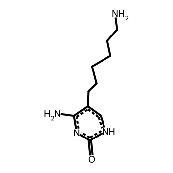 NCCCCCCc1c[nH]c(=O)nc1N